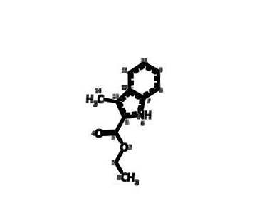 CCOC(=O)c1[nH]c2cc[c]cc2c1C